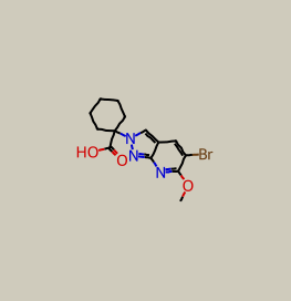 COc1nc2nn(C3(C(=O)O)CCCCC3)cc2cc1Br